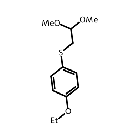 CCOc1ccc(SCC(OC)OC)cc1